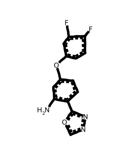 Nc1cc(Oc2ccc(F)c(F)c2)ccc1-c1nnco1